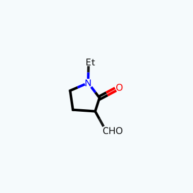 CCN1CCC(C=O)C1=O